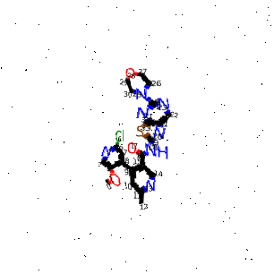 COc1cnc(Cl)cc1-c1cc(C)ncc1C(=O)Nc1nc2cnc(N3CCOCC3)nc2s1